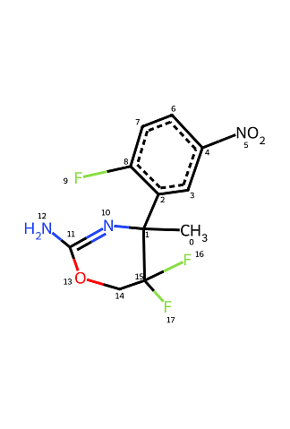 CC1(c2cc([N+](=O)[O-])ccc2F)N=C(N)OCC1(F)F